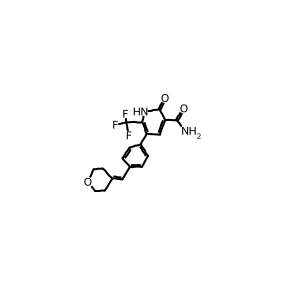 NC(=O)c1cc(-c2ccc(C=C3CCOCC3)cc2)c(C(F)(F)F)[nH]c1=O